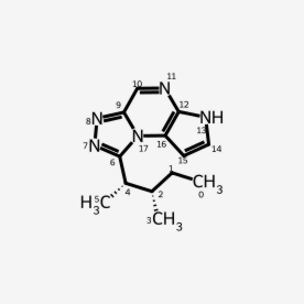 CC[C@H](C)[C@H](C)c1nnc2cnc3[nH]ccc3n12